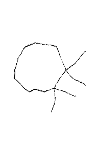 CC1(C)CCCCCC1(C)C